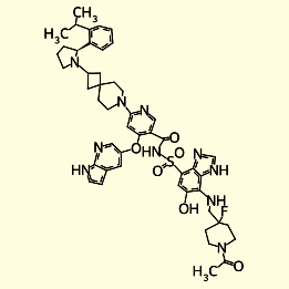 CC(=O)N1CCC(F)(CNc2c(O)cc(S(=O)(=O)NC(=O)c3cnc(N4CCC5(CC4)CC(N4CCC[C@H]4c4ccccc4C(C)C)C5)cc3Oc3cnc4[nH]ccc4c3)c3nc[nH]c23)CC1